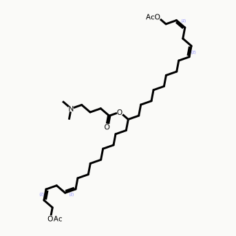 CC(=O)OC/C=C\C/C=C\CCCCCCCCC(CCCCCCCC/C=C\C/C=C\COC(C)=O)OC(=O)CCCN(C)C